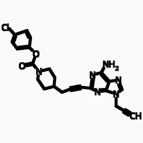 C#CCn1cnc2c(N)nc(C#CCC3CCN(C(=O)Oc4ccc(Cl)cc4)CC3)nc21